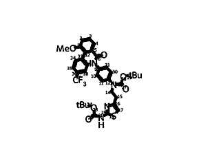 COc1cccc(C(=O)Nc2ccc(N(CCc3csc(NC(=O)OC(C)(C)C)n3)C(=O)OC(C)(C)C)cc2)c1-c1ccc(C(F)(F)F)cc1